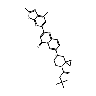 Cc1nc2c(C)cc(-c3cc(=O)n4cc([C@@H]5CCN(C(=O)OC(C)(C)C)C6(CC6)C5)ccc4n3)nc2o1